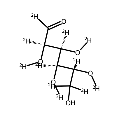 [2H]O[C@@]([2H])([C@]([2H])(O[2H])[C@]([2H])(O[2H])C([2H])([2H])O)[C@@]([2H])(O[2H])C([2H])=O